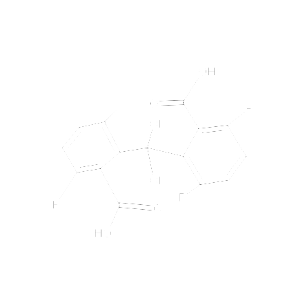 O=C(O)c1c(F)ccc(F)c1C(O)(O)c1c(F)ccc(F)c1C(=O)O